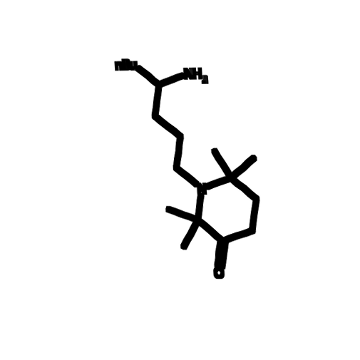 CCCCC(N)CCCN1C(C)(C)CCC(=O)C1(C)C